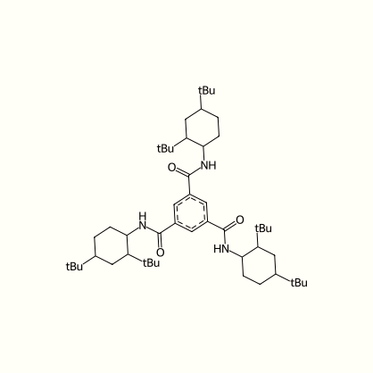 CC(C)(C)C1CCC(NC(=O)c2cc(C(=O)NC3CCC(C(C)(C)C)CC3C(C)(C)C)cc(C(=O)NC3CCC(C(C)(C)C)CC3C(C)(C)C)c2)C(C(C)(C)C)C1